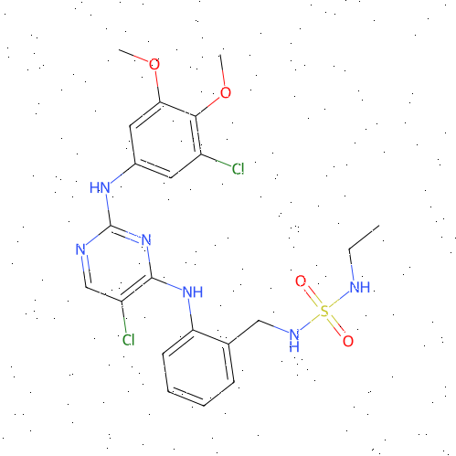 CCNS(=O)(=O)NCc1ccccc1Nc1nc(Nc2cc(Cl)c(OC)c(OC)c2)ncc1Cl